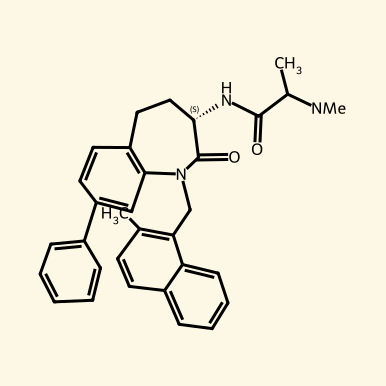 CNC(C)C(=O)N[C@H]1CCc2ccc(-c3ccccc3)cc2N(Cc2c(C)ccc3ccccc23)C1=O